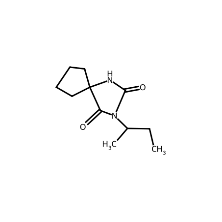 CCC(C)N1C(=O)NC2(CCCC2)C1=O